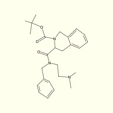 CN(C)CCN(Cc1ccccc1)C(=O)C1Cc2ccccc2CN1C(=O)OC(C)(C)C